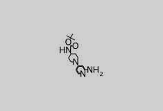 CC(C)(C)OC(=O)NC1CCN(c2ccnc(N)c2)CC1